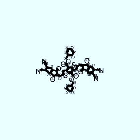 N#Cc1cc2c(cc1C#N)C(=O)C(=Cc1cc3c(C(=O)OCc4ccccc4)c4sc(C=C5C(=O)c6cc(C#N)c(C#N)cc6C5=O)cc4c(C(=O)OCc4ccccc4)c3s1)C2=O